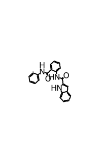 O=C(Nc1ccccc1C(=O)Nc1[c]cccc1)c1cc2ccccc2[nH]1